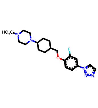 O=C(O)N1CCN(C2CCC(COc3ccc(-n4ccnn4)cc3F)CC2)CC1